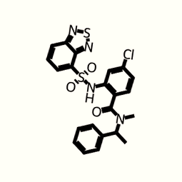 CC(c1ccccc1)N(C)C(=O)c1ccc(Cl)cc1NS(=O)(=O)c1cccc2nsnc12